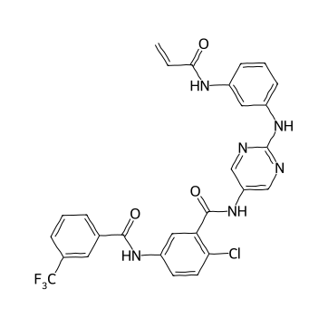 C=CC(=O)Nc1cccc(Nc2ncc(NC(=O)c3cc(NC(=O)c4cccc(C(F)(F)F)c4)ccc3Cl)cn2)c1